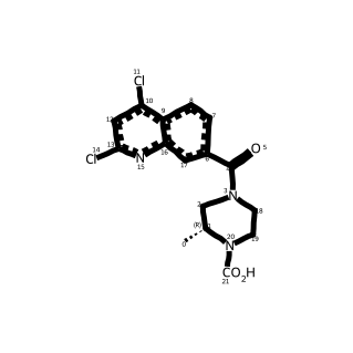 C[C@@H]1CN(C(=O)c2ccc3c(Cl)cc(Cl)nc3c2)CCN1C(=O)O